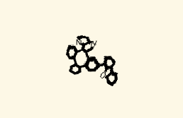 c1ccc2c(c1)-c1ccc(-c3cccc4c3oc3ccccc34)cc1-c1cnc3cccnc3c1-c1ccccc1-2